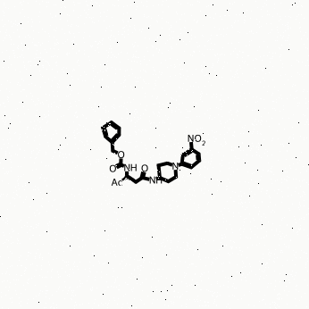 CC(=O)[C@H](CC(=O)NC1CCN(c2cccc([N+](=O)[O-])c2)CC1)NC(=O)OCc1ccccc1